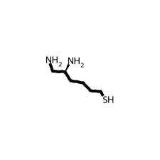 NC[C@@H](N)CCCCS